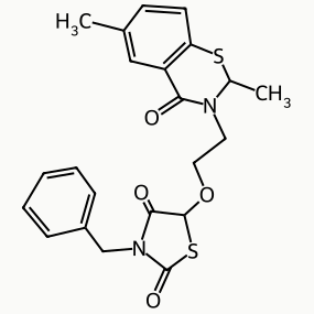 Cc1ccc2c(c1)C(=O)N(CCOC1SC(=O)N(Cc3ccccc3)C1=O)C(C)S2